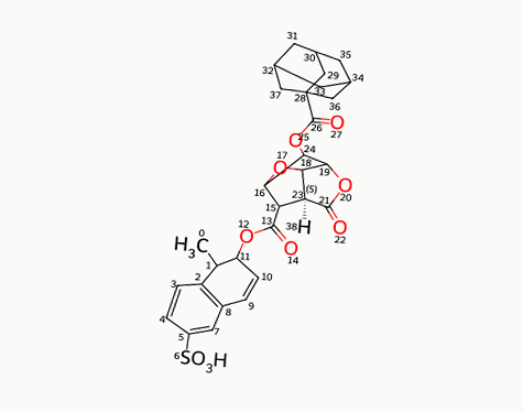 CC1c2ccc(S(=O)(=O)O)cc2C=CC1OC(=O)C1C2OC3C(OC(=O)[C@H]31)C2OC(=O)C12CC3CC(CC(C3)C1)C2